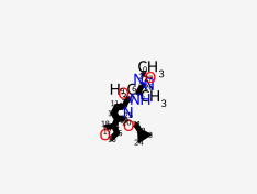 Cc1nc(C(C)(C)NC(=O)c2ccc(C3CCOC3)c(OCC3CC3)n2)no1